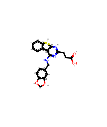 O=C(O)CCc1nc(NCc2ccc3c(c2)OCO3)c2c(n1)sc1ccccc12